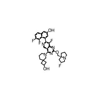 Oc1cc(-c2ncc3c(N4CCCC5(CC(O)C5)C4)nc(OC[C@@]45CCCN4C[C@H](F)C5)nc3c2F)c2c(F)c(F)ccc2c1